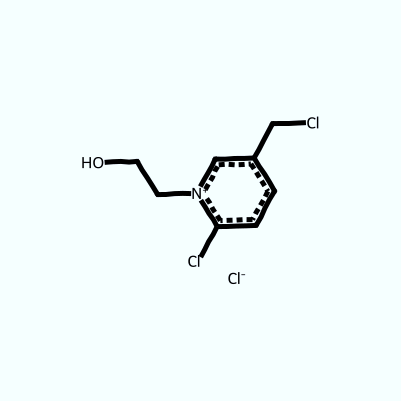 OCC[n+]1cc(CCl)ccc1Cl.[Cl-]